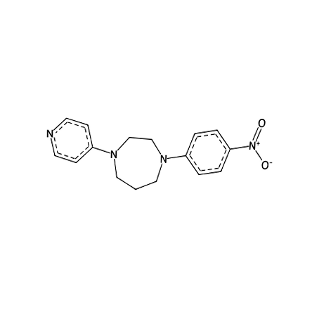 O=[N+]([O-])c1ccc(N2CCCN(c3ccncc3)CC2)cc1